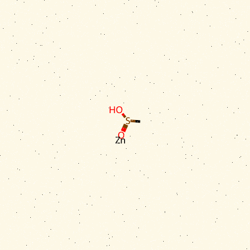 CS(=O)O.[Zn]